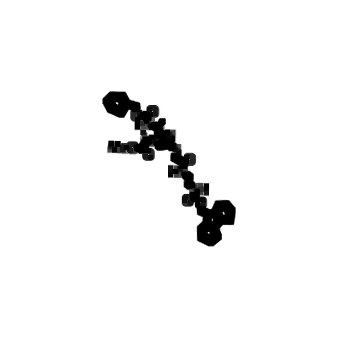 COC(=O)[C@H](C)n1cc(SCC(=O)NCCNC(=O)OCC2c3ccccc3-c3ccccc32)nc1[C@H](C)NC(=O)OCc1ccccc1